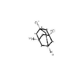 Cl[C@@]12[CH][C@H]3C[C@H](C1)C[C@@](Cl)(C3)C2